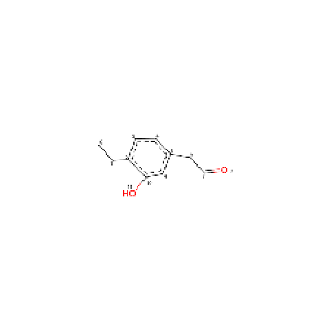 CCc1ccc(CC=O)cc1O